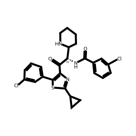 O=C(N[C@H](C(=O)c1nc(C2CC2)sc1-c1cccc(Cl)c1)C1CCCCN1)c1cccc(Cl)c1